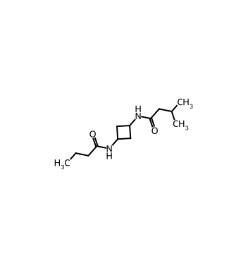 CCCC(=O)NC1CC(NC(=O)CC(C)C)C1